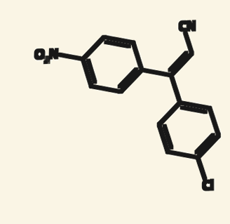 N#CC=C(c1ccc(Cl)cc1)c1ccc([N+](=O)[O-])cc1